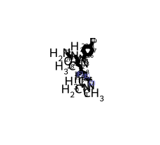 C=CN(C)\N=C/C(C)=C/C(=C\CCC)c1nn(-c2ccc(F)cc2)c(NC(N)=O)c1C